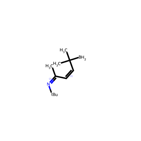 BC(C)(C)/C=C\C(C)=N/C(C)(C)C